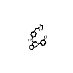 Clc1cccc(N2C=C(Nc3ccc(Cc4ncco4)cc3)C3=C(CCC3)C2)c1